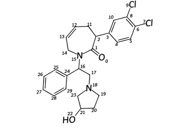 O=C1C(c2ccc(Cl)c(Cl)c2)CC=CCN1C(CN1CCC(O)C1)c1ccccc1